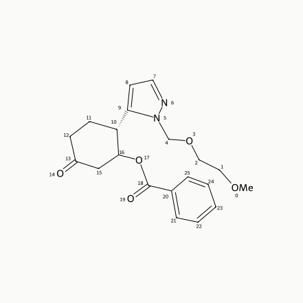 COCCOCn1nccc1[C@H]1CCC(=O)CC1OC(=O)c1ccccc1